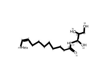 CCCCCC/C=C\CCCCCCCC(=O)PC(O)C(O)CO